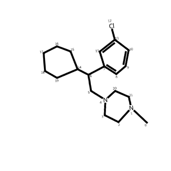 CN1CCN(CC(c2cccc(Cl)c2)C2CCCCC2)CC1